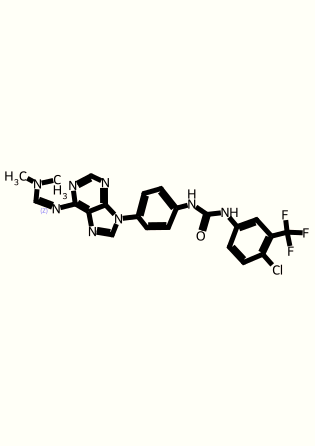 CN(C)/C=N\c1ncnc2c1ncn2-c1ccc(NC(=O)Nc2ccc(Cl)c(C(F)(F)F)c2)cc1